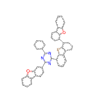 c1ccc(-c2nc(-c3ccc4c(c3)oc3ccccc34)nc(-c3cccc4c3sc3c(-c5cccc6c5oc5ccccc56)cccc34)n2)cc1